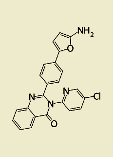 Nc1ccc(-c2ccc(-c3nc4ccccc4c(=O)n3-c3ccc(Cl)cn3)cc2)o1